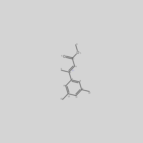 COC(=O)/C=C(\C)c1cc(C)cc(C)c1